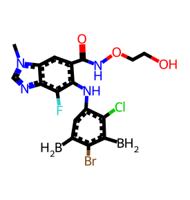 Bc1cc(Nc2c(C(=O)NOCCO)cc3c(ncn3C)c2F)c(Cl)c(B)c1Br